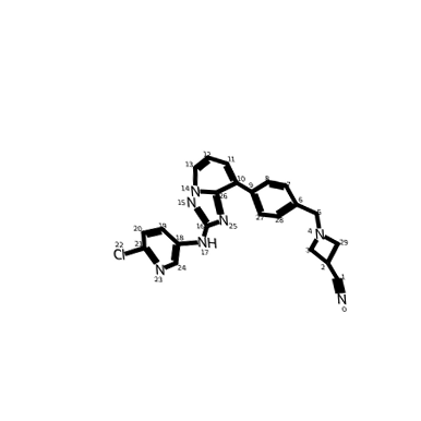 N#CC1CN(Cc2ccc(-c3cccn4nc(Nc5ccc(Cl)nc5)nc34)cc2)C1